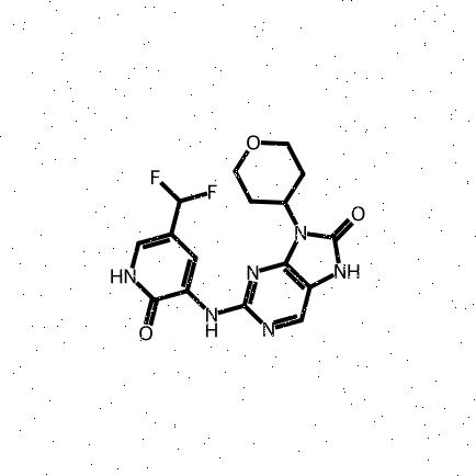 O=c1[nH]cc(C(F)F)cc1Nc1ncc2[nH]c(=O)n(C3CCOCC3)c2n1